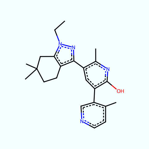 CCn1nc(-c2cc(-c3cnccc3C)c(O)nc2C)c2c1CC(C)(C)CC2